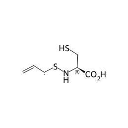 C=C[CH]SN[C@@H](CS)C(=O)O